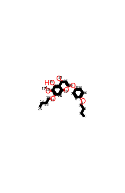 CCCCOc1ccc(Oc2cc(=O)c3c(O)c(OC)c(OCCCC)cc3o2)cc1